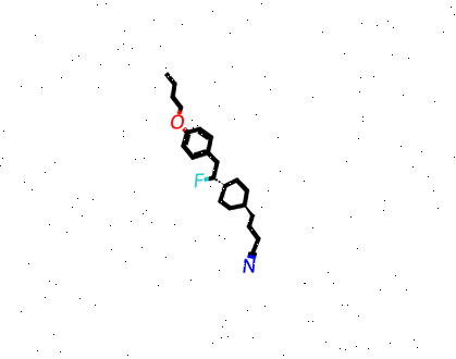 CCCCOc1ccc(CC(F)[C@H]2CC[C@H](CCCC#N)CC2)cc1